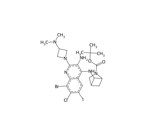 CN(C)C1CN(c2nc3c(Br)c(Cl)c(I)cc3c(NC3C4CC3N(C(=O)OC(C)(C)C)C4)c2N)C1